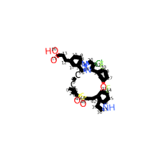 CC1(C)CCCC(c2cccc(CCC(=O)O)c2)n2ncc(Cl)c2-c2cc(ccc2F)Oc2c(F)cc3[nH]ccc3c2CCS(=O)(=O)C1